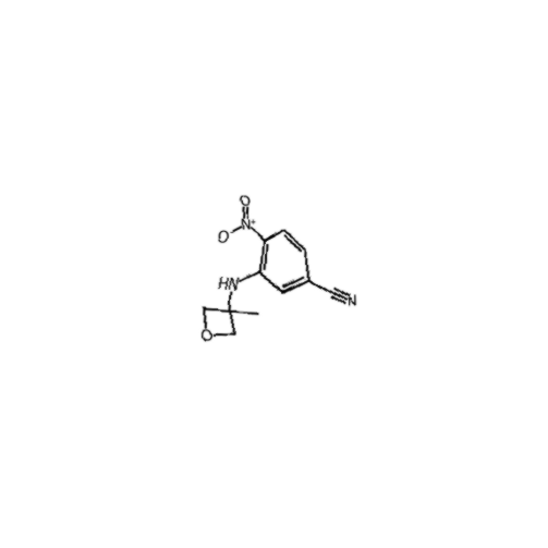 CC1(Nc2cc(C#N)ccc2[N+](=O)[O-])COC1